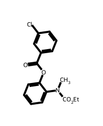 CCOC(=O)N(C)c1ccccc1OC(=O)c1cccc(Cl)c1